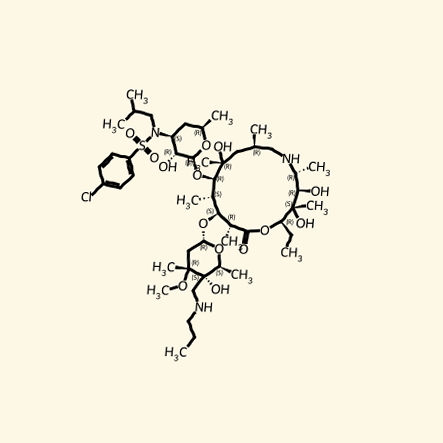 CCCNC[C@]1(O)[C@H](C)O[C@@H](O[C@H]2[C@H](C)[C@@H](O[C@@H]3O[C@H](C)C[C@H](N(CC(C)C)S(=O)(=O)c4ccc(Cl)cc4)[C@H]3O)[C@](C)(O)C[C@@H](C)CN[C@H](C)[C@@H](O)[C@](C)(O)[C@@H](CC)OC(=O)[C@@H]2C)C[C@@]1(C)OC